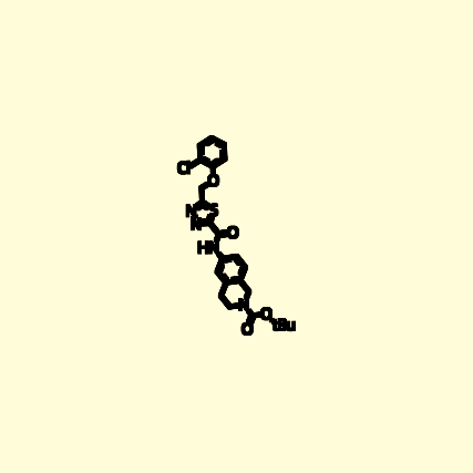 CC(C)(C)OC(=O)N1CCc2cc(NC(=O)c3nnc(COc4ccccc4Cl)s3)ccc2C1